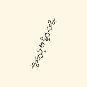 CC(C)(C)OC(=O)NCc1ccc(NC(=O)C23CCC(C(=O)Nc4ccc(C5=CCN(C(=O)OC(C)(C)C)CC5)cc4)(CC2)CC3)cc1